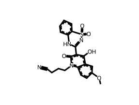 COc1ccc2c(c1)c(O)c(C1=NS(=O)(=O)c3ccccc3N1)c(=O)n2CCCC#N